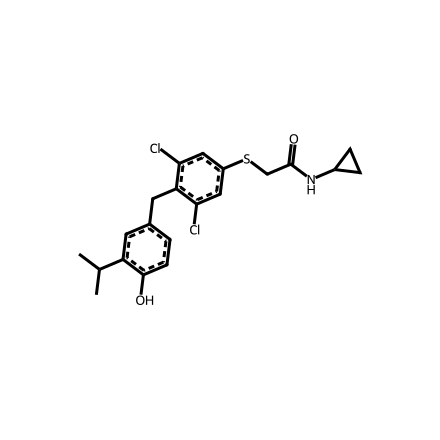 CC(C)c1cc(Cc2c(Cl)cc(SCC(=O)NC3CC3)cc2Cl)ccc1O